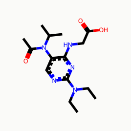 CCN(CC)c1ncc(N(C(C)=O)C(C)C)c(NCC(=O)O)n1